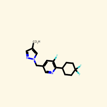 O=C(O)c1cnn(Cc2cnc(C3CCC(F)(F)CC3)c(F)c2)c1